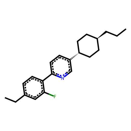 CCC[C@H]1CC[C@H](c2ccc(-c3ccc(CC)cc3F)nc2)CC1